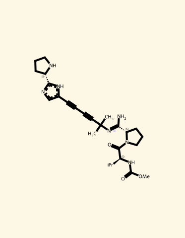 COC(=O)N[C@H](C(=O)N1CCC[C@H]1/C(N)=N/C(C)(C)C#CC#Cc1cnc([C@@H]2CCCN2)[nH]1)C(C)C